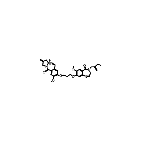 C=C(CC)CN1CC=Nc2cc(OCCCOc3cc4c(cc3OC)C(=O)N3CC(=C)C[C@H]3C=N4)c(OC)cc2C1=O